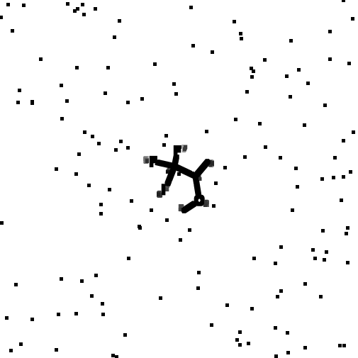 [CH2]C(OC)C(F)(F)F